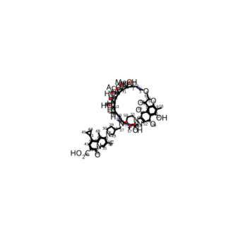 CO[C@H]1/C=C/O[C@@]2(C)Oc3c(C)c(O)c4c(c3C2=O)C(=O)C(N2CCC(N(C)CC3CCN(c5c(F)cn6c(=O)c(C(=O)O)cc(C7CC7)c6c5C)C3)CC2)=C(NC(=O)/C(C)=C\C=C\[C@H](C)[C@H](O)[C@@H](C)[C@@H](O)[C@@H](C)[C@H](OC(C)=O)[C@@H]1C)C4=O